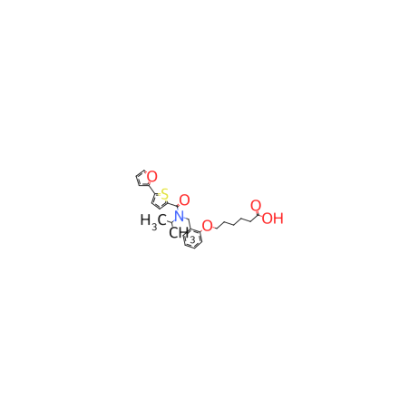 CC(C)N(Cc1ccccc1OCCCCCC(=O)O)C(=O)c1ccc(-c2ccco2)s1